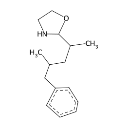 CC(Cc1ccccc1)CC(C)C1NCCO1